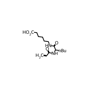 C=CC(=O)NC(CCCC)C(=O)NCCCCCC(=O)O